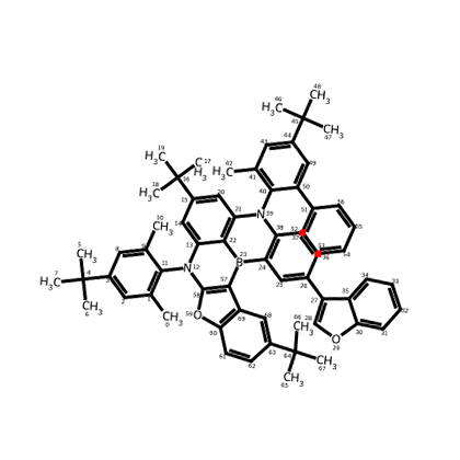 Cc1cc(C(C)(C)C)cc(C)c1N1c2cc(C(C)(C)C)cc3c2B(c2cc(-c4coc5ccccc45)ccc2N3c2c(C)cc(C(C)(C)C)cc2-c2ccccc2)c2c1oc1ccc(C(C)(C)C)cc21